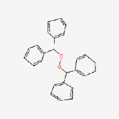 c1ccc(C(OOC(c2ccccc2)c2ccccc2)c2ccccc2)cc1